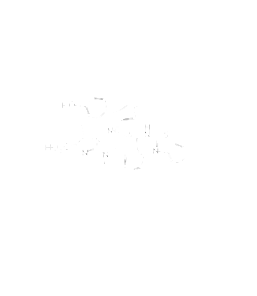 N#Cc1cscc1-c1ccc(O)c(Cc2sc(N3CCc4cccc(C(=O)Nc5nc6ccccc6s5)c4C3)nc2C(=O)O)c1